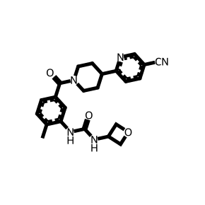 Cc1ccc(C(=O)N2CCC(c3ccc(C#N)cn3)CC2)cc1NC(=O)NC1COC1